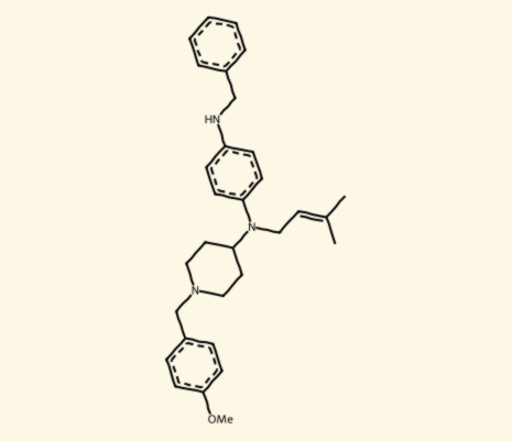 COc1ccc(CN2CCC(N(CC=C(C)C)c3ccc(NCc4ccccc4)cc3)CC2)cc1